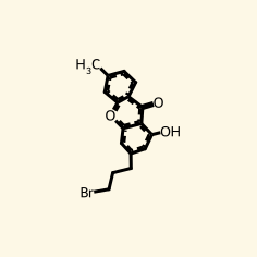 Cc1ccc2c(=O)c3c(O)cc(CCCBr)cc3oc2c1